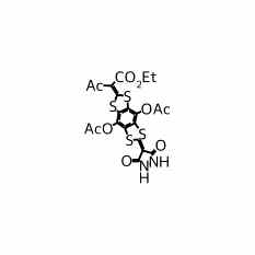 CCOC(=O)C(C(C)=O)=C1Sc2c(OC(C)=O)c3c(c(OC(C)=O)c2S1)SC(=C1C(=O)NNC1=O)S3